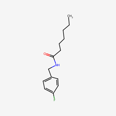 CCCCCCC(=O)NCc1ccc(F)cc1